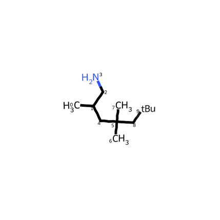 CC(CN)CC(C)(C)CC(C)(C)C